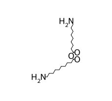 NCCCCCCCCCC(=O)OC(=O)CCCCCCCCN